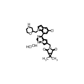 CC1(C)C2C(=O)N(Cc3cc4c(-c5cc(Cl)cc6ccn(CC7CNCCO7)c56)ncnn4c3)C(=O)C21.Cl.Cl